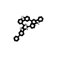 c1ccc(-c2ccc3c(c2)sc2c(-c4cccc5oc6ccc(-c7ccc8sc9ccccc9c8c7)cc6c45)nc(-c4ccccc4)nc23)cc1